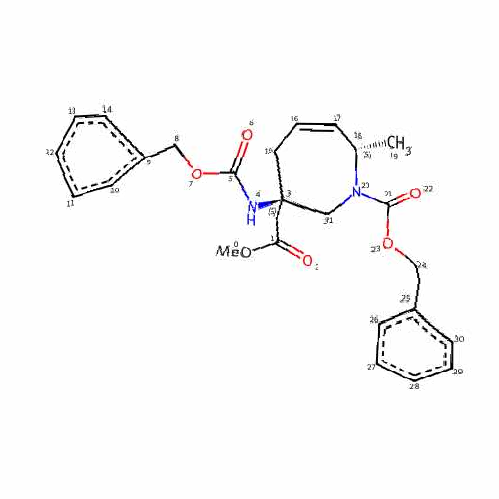 COC(=O)[C@]1(NC(=O)OCc2ccccc2)CC=C[C@H](C)N(C(=O)OCc2ccccc2)C1